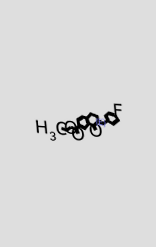 CCOC(=O)c1ccc2c(c1)C(=O)/C(=C/c1ccc(F)cc1)CC2